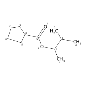 CC(C)C(C)OC(=O)C1CCCC1